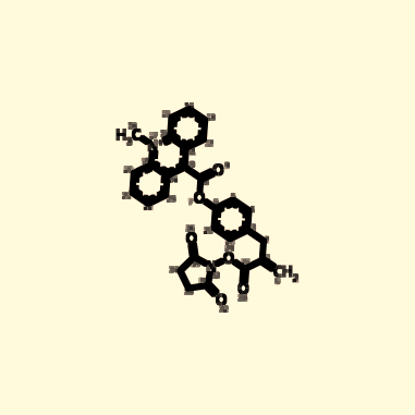 C=C(Cc1ccc(OC(=O)c2c3ccccc3[n+](C)c3ccccc23)cc1)C(=O)ON1C(=O)CCC1=O